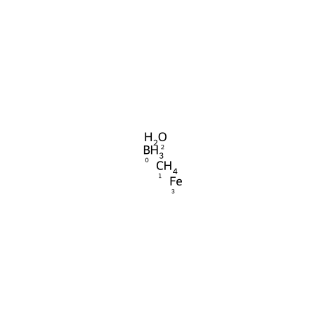 B.C.O.[Fe]